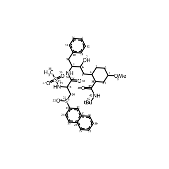 COC1CCC(CC(O)C(Cc2ccccc2)NC(=O)C(C[S+]([O-])c2ccc3ccccc3c2)NS(C)(=O)=O)C(C(=O)NC(C)(C)C)C1